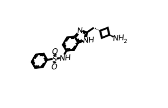 N[C@H]1C[C@H](Cc2nc3ccc(NS(=O)(=O)c4ccccc4)cc3[nH]2)C1